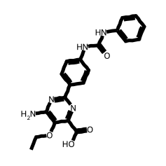 CCOc1c(N)nc(-c2ccc(NC(=O)Nc3ccccc3)cc2)nc1C(=O)O